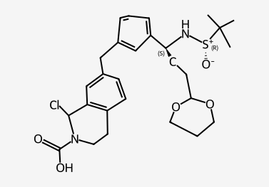 CC(C)(C)[S@+]([O-])N[C@@H](CCC1OCCCO1)c1cccc(Cc2ccc3c(c2)C(Cl)N(C(=O)O)CC3)c1